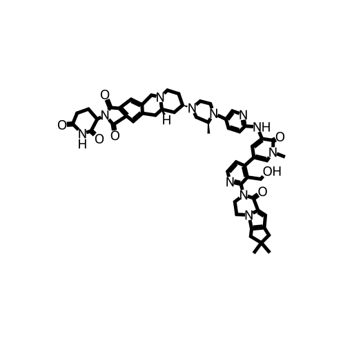 C[C@H]1CN([C@H]2CCN3Cc4cc5c(cc4C[C@H]3C2)C(=O)N(C2CCC(=O)NC2=O)C5=O)CCN1c1ccc(Nc2cc(-c3ccnc(N4CCn5c(cc6c5CC(C)(C)C6)C4=O)c3CO)cn(C)c2=O)nc1